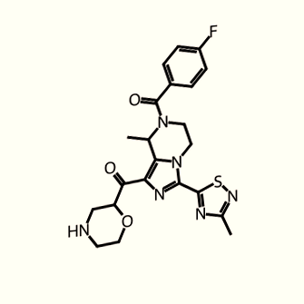 Cc1nsc(-c2nc(C(=O)C3CNCCO3)c3n2CCN(C(=O)c2ccc(F)cc2)C3C)n1